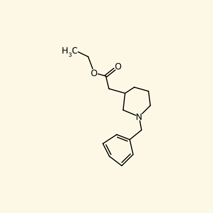 CCOC(=O)CC1CCCN(Cc2ccccc2)C1